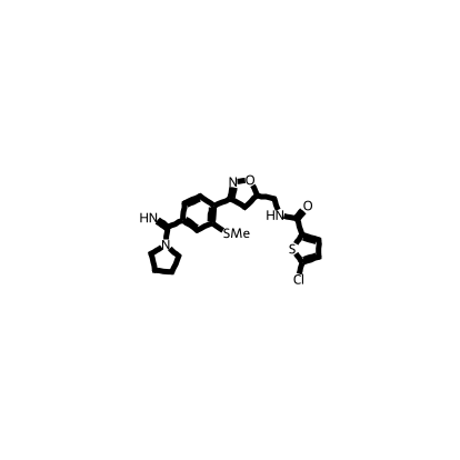 CSc1cc(C(=N)N2CCCC2)ccc1C1=NOC(CNC(=O)c2ccc(Cl)s2)C1